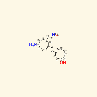 NC1CCCC(CCC2CCCCCC(O)CC2)CC(CCN=O)CC1